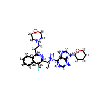 C[C@H](Nc1ncnc2c1ncn2C1CCCCO1)c1nc(CCN2CCOCC2)c2ccccc2c1F